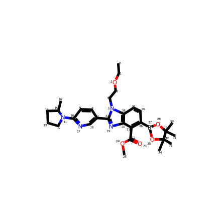 CCOCCn1c(-c2ccc(N3CCCC3C)nc2)nc2c(C(=O)OC)c(B3OC(C)(C)C(C)(C)O3)ccc21